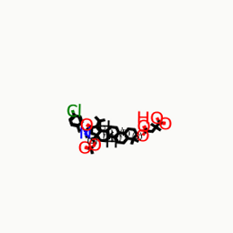 CC(=O)O[C@H](CN(C)Cc1ccc(Cl)cc1)C12CC[C@]3(C)[C@H](CCC4[C@H]3CCC3C(C)(C)[C@@H](OC(=O)CC(C)(C)C(=O)O)CC[C@]43C)C1=C(C(C)C)C(=O)C2